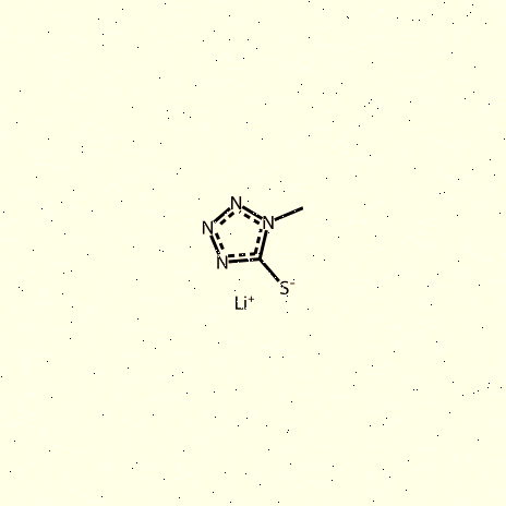 Cn1nnnc1[S-].[Li+]